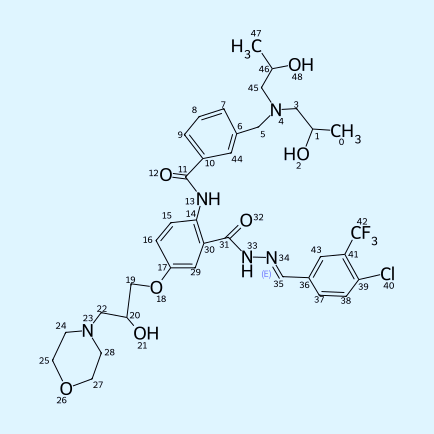 CC(O)CN(Cc1cccc(C(=O)Nc2ccc(OCC(O)CN3CCOCC3)cc2C(=O)N/N=C/c2ccc(Cl)c(C(F)(F)F)c2)c1)CC(C)O